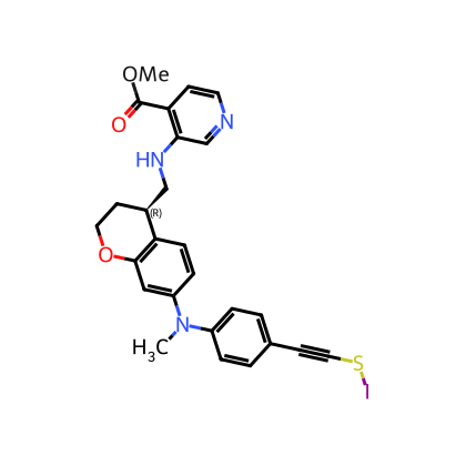 COC(=O)c1ccncc1NC[C@@H]1CCOc2cc(N(C)c3ccc(C#CSI)cc3)ccc21